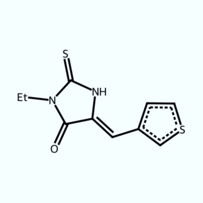 CCN1C(=O)/C(=C/c2ccsc2)NC1=S